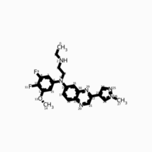 CCNCCN(c1cc(F)c(F)c(OC)c1)c1ccc2ncc(-c3cnn(C)c3)nc2c1